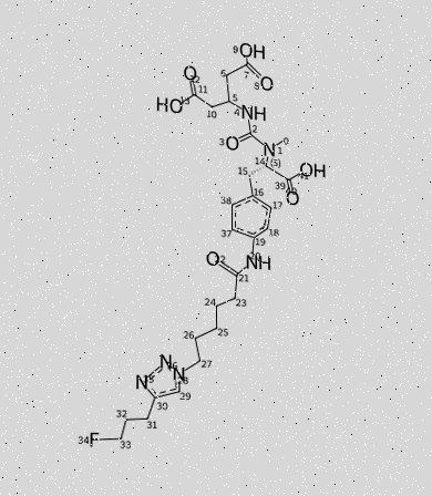 CN(C(=O)NC(CC(=O)O)CC(=O)O)[C@@H](Cc1ccc(NC(=O)CCCCCn2cc(CCCF)nn2)cc1)C(=O)O